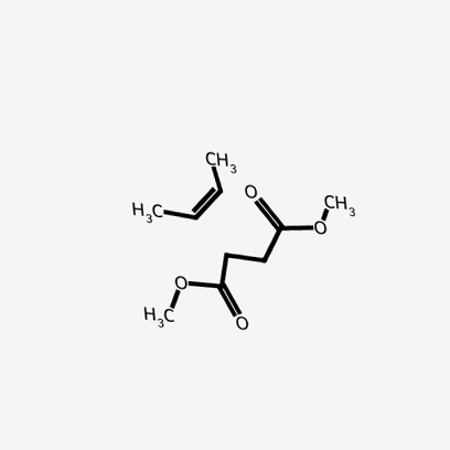 C/C=C\C.COC(=O)CCC(=O)OC